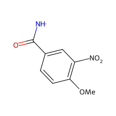 COc1ccc(C([NH])=O)cc1[N+](=O)[O-]